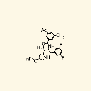 CCCOC1CN[C@@H]([C@@H](O)[C@H](Cc2cc(F)cc(F)c2)NC(=O)c2cc(C)cc(C(C)=O)c2)C1